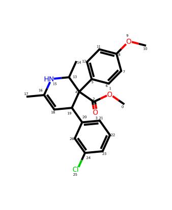 COC(=O)C1(c2ccc(OC)cc2)C(C)NC(C)=CC1c1cccc(Cl)c1